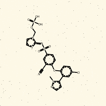 Cn1nccc1-c1cc(Cl)ccc1Oc1ccc(S(=O)(=O)/N=c2\sccn2COP(=O)(O)O)cc1C#N